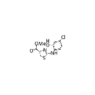 COC(=O)[C@@H]1CSC(Nc2ccc(Cl)cc2O)=N1